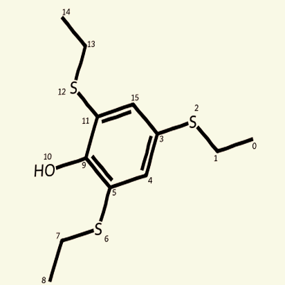 CCSc1cc(SCC)c(O)c(SCC)c1